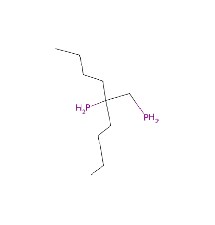 CCCCC(P)(CP)CCCC